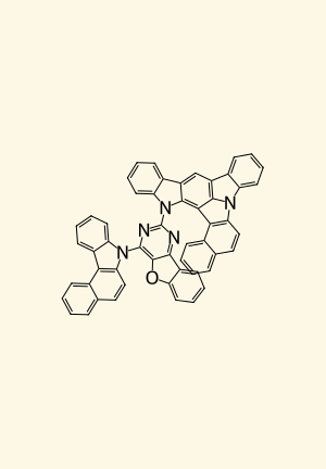 c1ccc2c(c1)ccc1c2c2ccccc2n1-c1nc(-n2c3ccccc3c3cc4c5ccccc5n5c6ccc7ccccc7c6c(c32)c45)nc2c1oc1ccccc12